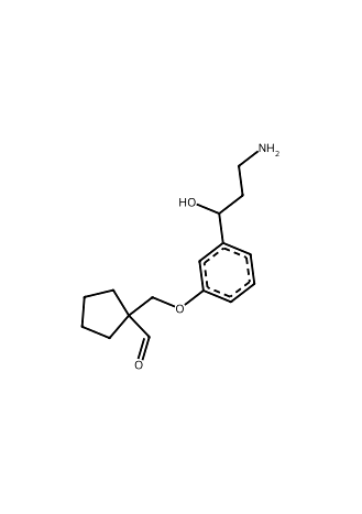 NCCC(O)c1cccc(OCC2(C=O)CCCC2)c1